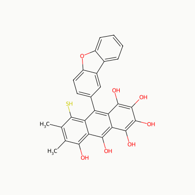 Cc1c(C)c(S)c2c(-c3ccc4oc5ccccc5c4c3)c3c(O)c(O)c(O)c(O)c3c(O)c2c1O